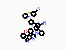 N#Cc1ccc2c(c1)Sc1ccccc1N2c1ccc2c(c1)c1cc(C#N)ccc1n2-c1ccc2c(c1)Oc1ccccc1C21c2cccnc2-c2ncc(-n3c4ccccc4c4ccccc43)cc21